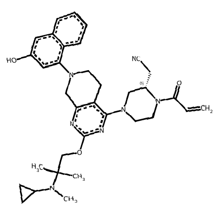 C=CC(=O)N1CCN(c2nc(OCC(C)(C)N(C)C3CC3)nc3c2CCN(c2cc(O)cc4ccccc24)C3)C[C@@H]1CC#N